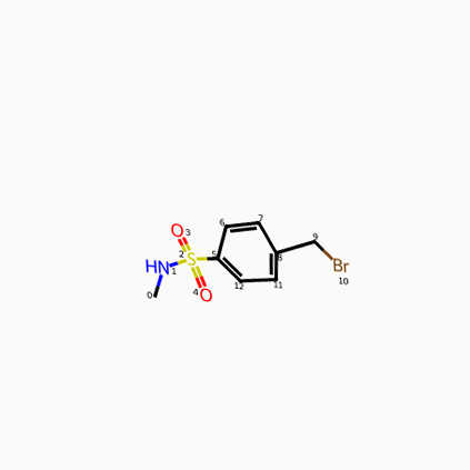 CNS(=O)(=O)c1ccc(CBr)cc1